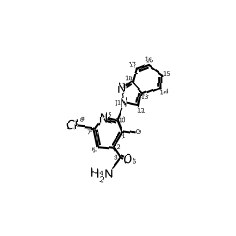 Cc1c(C(N)=O)cc(Cl)nc1-n1cc2ccccc2n1